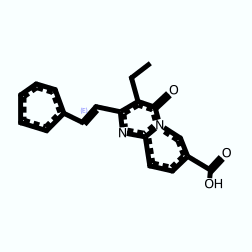 CCc1c(/C=C/c2ccccc2)nc2ccc(C(=O)O)cn2c1=O